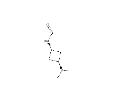 CN(C)[C@H]1C[C@@H](NC=O)C1